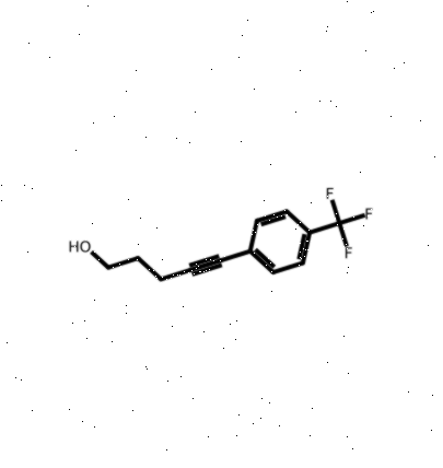 OCCCC#Cc1ccc(C(F)(F)F)cc1